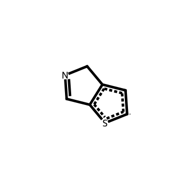 [c]1cc2c(s1)C=NC2